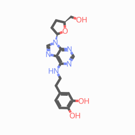 OC[C@@H]1CC[C@H](n2cnc3c(NCCc4ccc(O)c(O)c4)ncnc32)O1